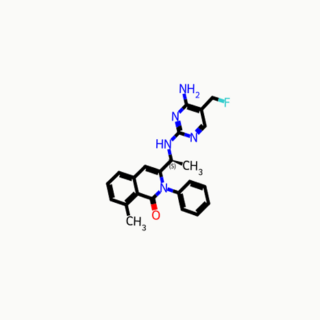 Cc1cccc2cc([C@H](C)Nc3ncc(CF)c(N)n3)n(-c3ccccc3)c(=O)c12